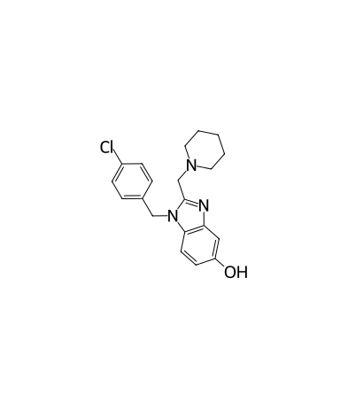 Oc1ccc2c(c1)nc(CN1CCCCC1)n2Cc1ccc(Cl)cc1